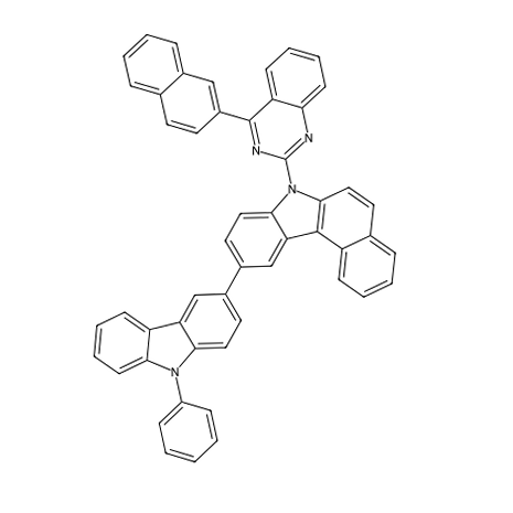 c1ccc(-n2c3ccccc3c3cc(-c4ccc5c(c4)c4c6ccccc6ccc4n5-c4nc(-c5ccc6ccccc6c5)c5ccccc5n4)ccc32)cc1